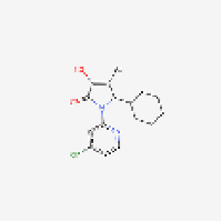 CC(=O)C1=C(O)C(=O)N(c2cc(Cl)ccn2)C1C1CCCCC1